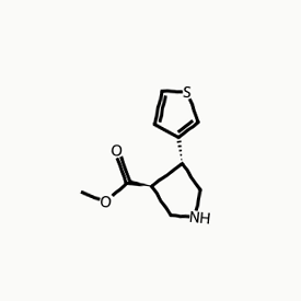 COC(=O)[C@@H]1CNC[C@H]1c1ccsc1